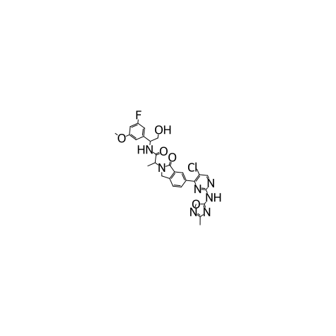 COc1cc(F)cc(C(CO)NC(=O)C(C)N2Cc3ccc(-c4nc(Nc5nc(C)no5)ncc4Cl)cc3C2=O)c1